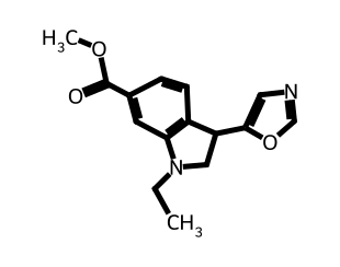 CCN1CC(c2cnco2)c2ccc(C(=O)OC)cc21